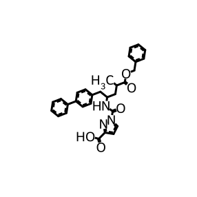 CC(CC(Cc1ccc(-c2ccccc2)cc1)NC(=O)n1ccc(C(=O)O)n1)C(=O)OCc1ccccc1